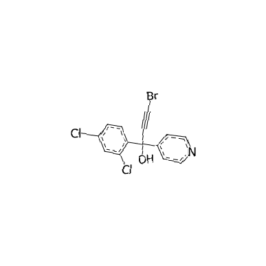 OC(C#CBr)(c1ccncc1)c1ccc(Cl)cc1Cl